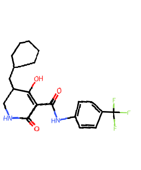 O=C1NCC(CC2CCCCC2)C(O)=C1C(=O)Nc1ccc(C(F)(F)F)cc1